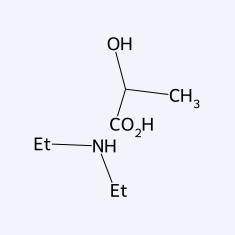 CC(O)C(=O)O.CCNCC